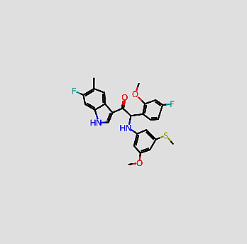 COc1cc(NC(C(=O)c2c[nH]c3cc(F)c(C)cc23)c2ccc(F)cc2OC)cc(SC)c1